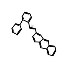 C(=C\c1ccccc1-c1ccccc1)/c1ccc2cc3ccccc3cc2c1